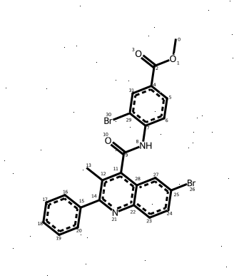 COC(=O)c1ccc(NC(=O)c2c(C)c(-c3ccccc3)nc3ccc(Br)cc23)c(Br)c1